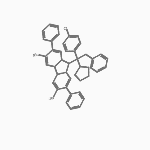 CC(C)(C)C1=CC2C3C=C(C(C)(C)C)C(c4ccccc4)=CC3C(C(Cc3ccccc3)(c3ccc(Cl)cc3)C3CCCC3)C2C=C1c1ccccc1